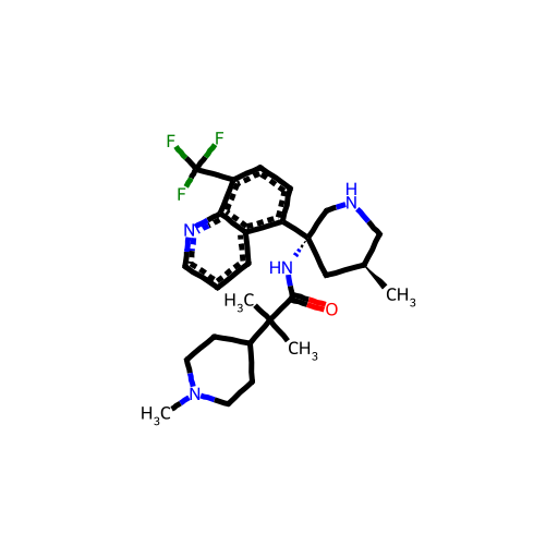 C[C@@H]1CNC[C@](NC(=O)C(C)(C)C2CCN(C)CC2)(c2ccc(C(F)(F)F)c3ncccc23)C1